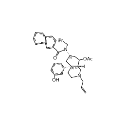 C=CCN1CC[C@@]2(c3cccc(O)c3)C[C@H](N(CC(C)C)C(=O)c3ccc4ccccc4c3)CC(OC(C)=O)[C@@H]2C1